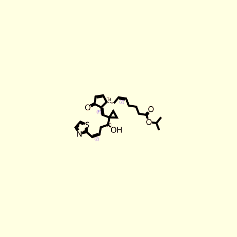 CC(C)OC(=O)CCC/C=C\C[C@H]1C=CC(=O)/C1=C/C1([C@@H](O)C/C=C\c2nccs2)CC1